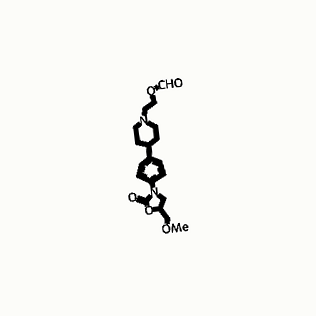 COCC1CN(c2ccc(C3CCN(CCOC=O)CC3)cc2)C(=O)O1